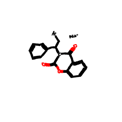 CC(=O)CC(c1ccccc1)[c-]1c(=O)oc2ccccc2c1=O.[Na+]